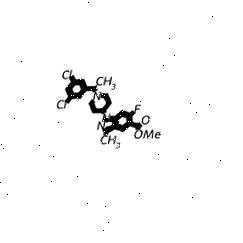 COC(=O)c1cc2c(C)nn(C3CCN([C@@H](C)c4cc(Cl)cc(Cl)c4)CC3)c2cc1F